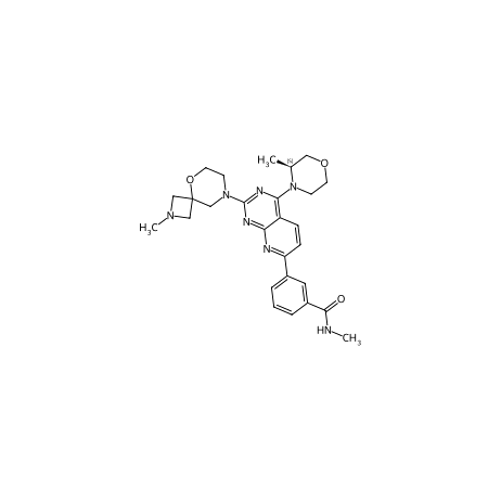 CNC(=O)c1cccc(-c2ccc3c(N4CCOC[C@@H]4C)nc(N4CCOC5(CN(C)C5)C4)nc3n2)c1